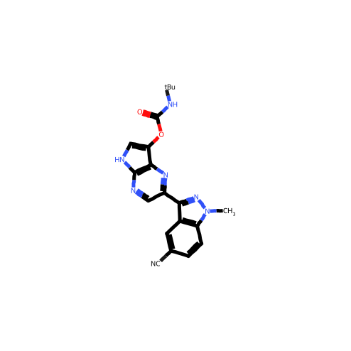 Cn1nc(-c2cnc3[nH]cc(OC(=O)NC(C)(C)C)c3n2)c2cc(C#N)ccc21